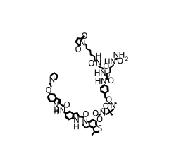 Cc1csc2c(OC(=O)N(C)CC(C)(C)CN(C)C(=O)OCc3ccc(NC(=O)[C@H](CCCNC(N)=O)NC(=O)CNC(=O)CCCCCN4C(=O)C=CC4=O)cc3)cc3c(c12)CCN3C(=O)c1cc2cc(NC(=O)c3cc4cc(OCCN5CCCC5)ccc4[nH]3)ccc2[nH]1